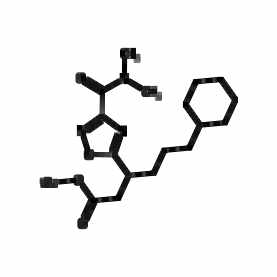 CN(C)C(=O)c1noc(C(CCCC2CCCCC2)CC(=O)OC(C)(C)C)n1